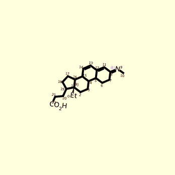 CC[C@]12CCC3C4CC/C(=N\C)C=C4C=CC3C1CCC2CCC(=O)O